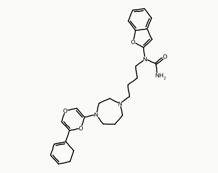 NC(=O)N(CCCCN1CCCN(C2=COC=C(C3=CC=CCC3)O2)CC1)c1cc2ccccc2o1